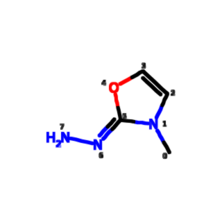 Cn1cco/c1=N\N